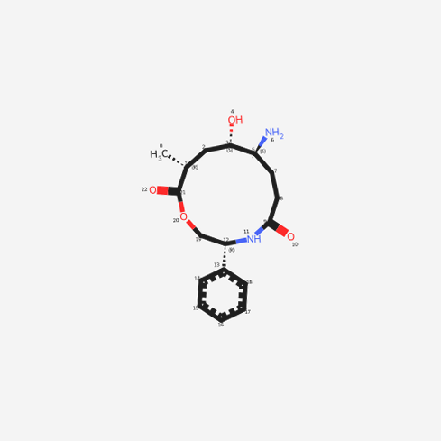 C[C@@H]1C[C@H](O)[C@@H](N)CCC(=O)N[C@H](c2ccccc2)COC1=O